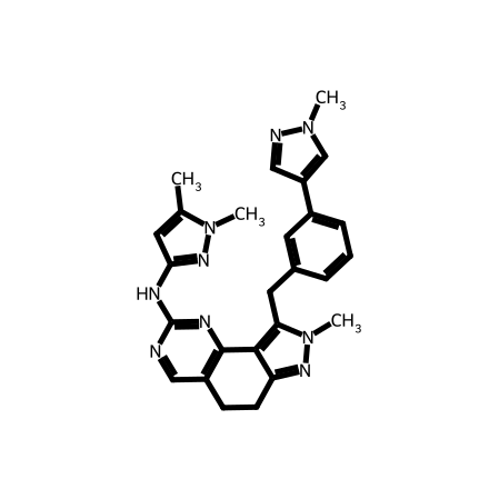 Cc1cc(Nc2ncc3c(n2)-c2c(nn(C)c2Cc2cccc(-c4cnn(C)c4)c2)CC3)nn1C